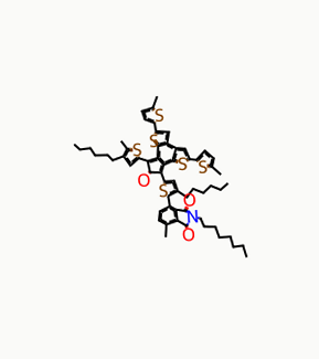 CCCCCCCCN1C(=O)c2c(C)ccc(-c3sc(C4=c5c(c6sc(-c7ccc(C)s7)cc6c6cc(-c7ccc(C)s7)sc56)=C(c5cc(CCCCCC)c(C)s5)C4=O)cc3CCCCCC)c2C1=O